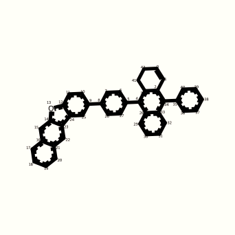 C1=Cc2c(c(-c3ccc(-c4ccc5oc6cc7ccccc7cc6c5c4)cc3)c3ccccc3c2-c2ccccc2)CC1